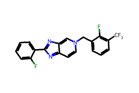 Fc1ccccc1-c1nc2ccn(Cc3cccc(C(F)(F)F)c3F)cc-2n1